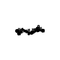 CC(C)(CCNCCCNC(=O)c1ccc(CNCC(O)c2ccc(OCc3ccccc3)c3[nH]c(=O)ccc23)cc1)OC(=O)Nc1ccccc1-c1ccccc1